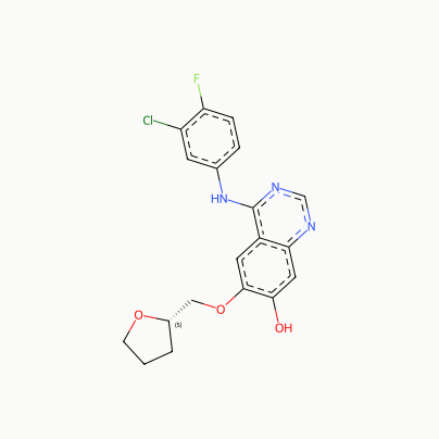 Oc1cc2ncnc(Nc3ccc(F)c(Cl)c3)c2cc1OC[C@@H]1CCCO1